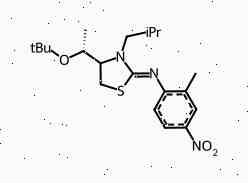 Cc1cc([N+](=O)[O-])ccc1N=C1SCC([C@@H](C)OC(C)(C)C)N1CC(C)C